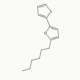 CCCCCCc1ccc(-c2cccs2)o1